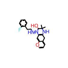 CC1(C)NC2=C(C=C3OC=CC=C3C2)N(NCCc2ccccc2F)C1O